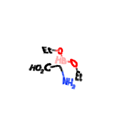 CCOBOCC.NCC(=O)O